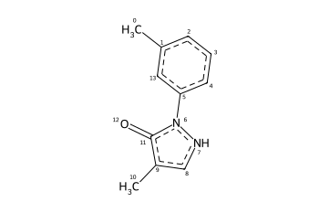 Cc1cccc(-n2[nH]cc(C)c2=O)c1